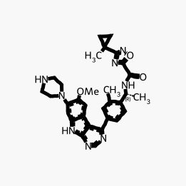 COc1cc2c(cc1N1CCNCC1)[nH]c1ncnc(-c3ccc([C@@H](C)NC(=O)c4nc(C5(C)CC5)no4)c(C)c3)c12